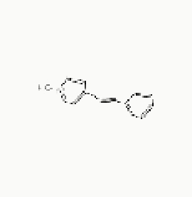 C[n+]1ccc(C#Cc2ccccc2)cc1